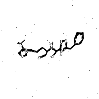 CN(C)c1cncn1CCCC(C=O)NC(=O)c1nnc(Cc2ccccc2)[nH]1